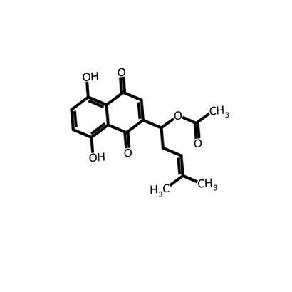 CC(=O)OC(CC=C(C)C)C1=CC(=O)c2c(O)ccc(O)c2C1=O